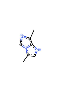 Cc1ncn2c(C)c[nH]c12